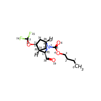 CCCCOC(=O)N1[C@@H]2C[C@@H]([C@@H](OC(F)F)C2)[C@@H]1C=O